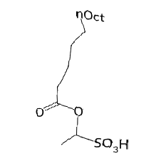 CCCCCCCCCCCCC(=O)OC(C)S(=O)(=O)O